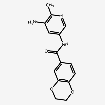 Cc1ncc(NC(=O)c2ccc3c(c2)OCCO3)cc1N